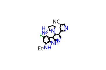 CCNc1cc(F)cc2c1[nH]c1ncc(-c3cncc(C#N)c3)c(N3CCC[C@H]3CN)c12